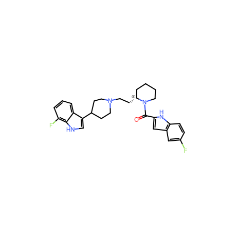 O=C(c1cc2cc(F)ccc2[nH]1)N1CCCC[C@H]1CCN1CCC(c2c[nH]c3c(F)cccc23)CC1